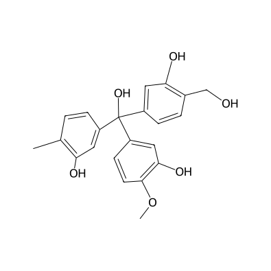 COc1ccc(C(O)(c2ccc(C)c(O)c2)c2ccc(CO)c(O)c2)cc1O